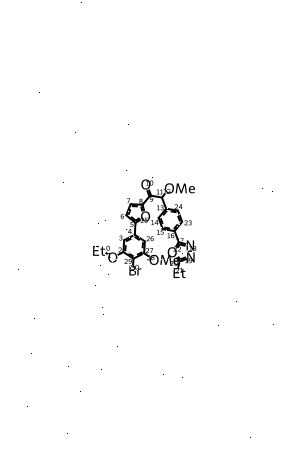 CCOc1cc(-c2ccc(C(=O)C(OC)c3ccc(-c4nnc(CC)o4)cc3)o2)cc(OC)c1Br